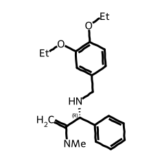 C=C(NC)[C@H](NCc1ccc(OCC)c(OCC)c1)c1ccccc1